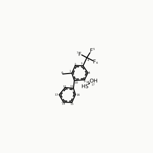 Cc1cc(C(F)(F)F)ccc1-c1cc[c]cc1.OS